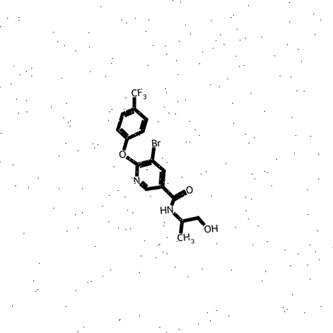 CC(CO)NC(=O)c1cnc(Oc2ccc(C(F)(F)F)cc2)c(Br)c1